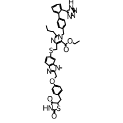 CCCc1nc(CSc2ccc3nc(COc4ccc(CC5SC(=O)NC5=O)cc4)n(C)c3c2)c(C(=O)OCC)n1Cc1ccc(-c2ccccc2-c2nnn[nH]2)cc1